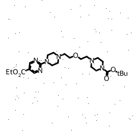 CCOC(=O)c1cnc(N2CCN(CCOCCN3CCN(C(=O)OC(C)(C)C)CC3)CC2)nc1